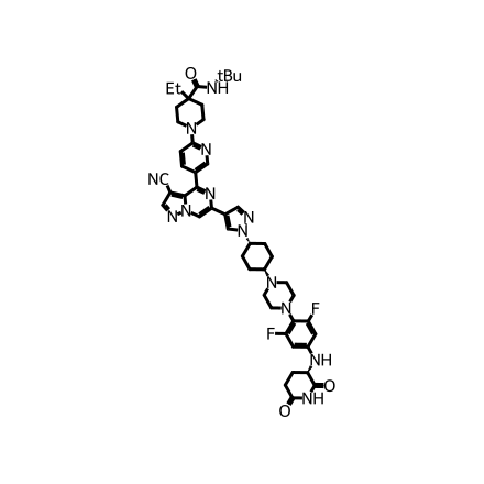 CCC1(C(=O)NC(C)(C)C)CCN(c2ccc(-c3nc(-c4cnn([C@H]5CC[C@H](N6CCN(c7c(F)cc(N[C@@H]8CCC(=O)NC8=O)cc7F)CC6)CC5)c4)cn4ncc(C#N)c34)cn2)CC1